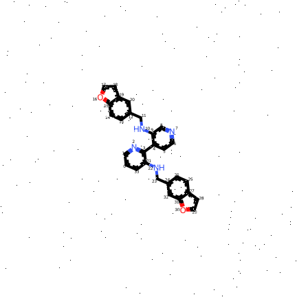 c1cnc(-c2ccncc2NCc2ccc3occc3c2)c(NCc2ccc3ccoc3c2)c1